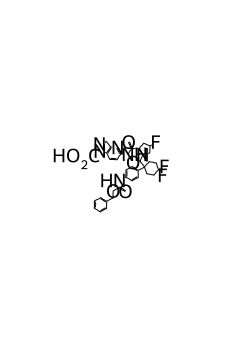 O=C(Nc1ccc(C2(C(=O)N3C[C@H](F)C[C@@H]3C(=O)Nc3ccc4c(cnn4C(=O)O)n3)CCC(F)(F)CC2)cc1)OCc1ccccc1